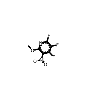 COc1nc(F)c(F)c(F)c1[N+](=O)[O-]